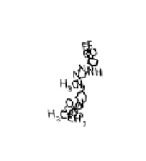 CN(CC1CCN(OC(=O)OC(C)(C)C)CC1)c1cc(Nc2ccc3c(c2)OC(F)(F)O3)ncn1